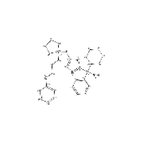 OC(c1ccccc1)(c1ncc(C[N+]2(CCCOc3ccccc3)CCCC2)o1)C1CCCCC1